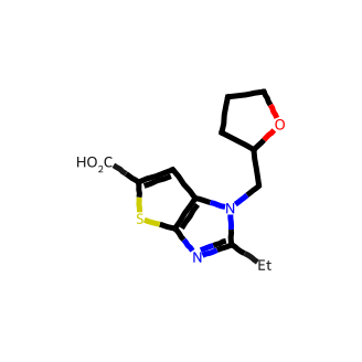 CCc1nc2sc(C(=O)O)cc2n1CC1CCCO1